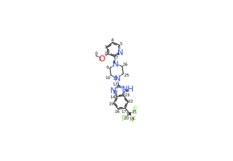 COc1cccnc1N1CCN(c2nc3ccc(C(F)(F)F)cc3[nH]2)CC1